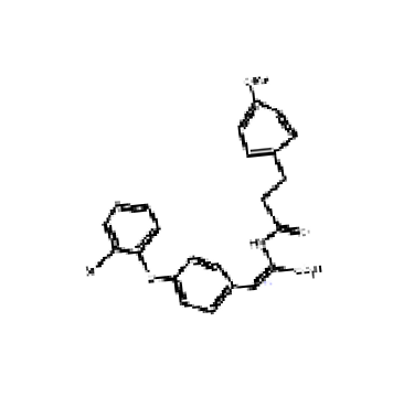 COc1ccc(CCC(=O)N/C(=C\c2ccc(Oc3ccccc3Br)cc2)C(=O)O)cc1